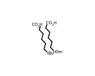 CC(C)(C)CCCCCC(=O)O.CCCCCCCCCCCCCCCC(=O)O